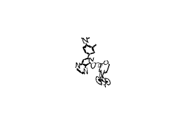 Cc1cc(-c2cc3nccnc3c(OC[C@@H]3CN(S(C)(=O)=O)CCO3)n2)ccc1N(C)C